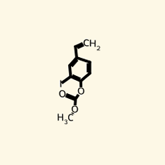 C=Cc1ccc(OC(=O)OC)c(I)c1